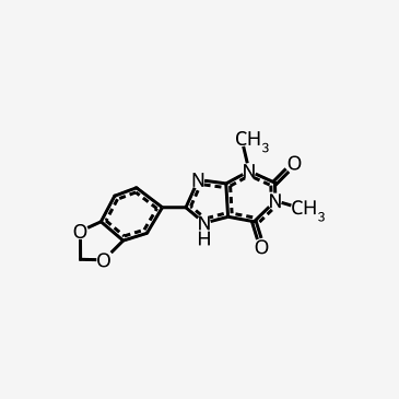 Cn1c(=O)c2[nH]c(-c3ccc4c(c3)OCO4)nc2n(C)c1=O